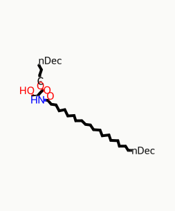 CCCCCCCCCCCCCCCCCCCCCCCCCCCCCC(=O)N[C@@H](CO)C(=O)OCCCCCCCCCCCCCC